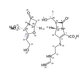 C[C@@H](O)[C@H]1C(=O)N2C(C(=O)O)=C(SCCNC=N)C[C@H]12.O.O=C(O)[C@H]1/C(=C/CO)O[C@@H]2CC(=O)N21